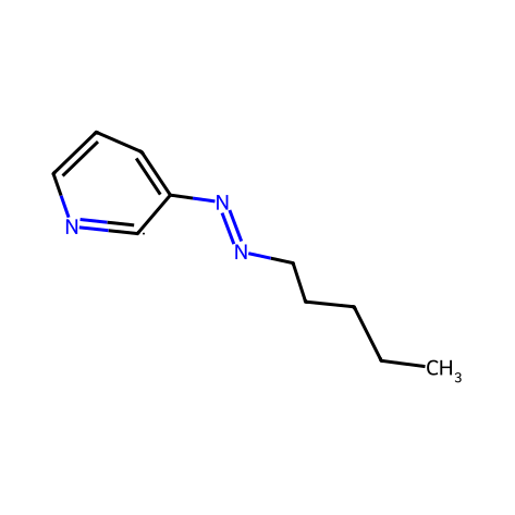 CCCCC/N=N/c1[c]nccc1